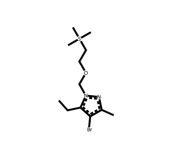 CCc1c(Br)c(C)nn1COCCS(C)(C)C